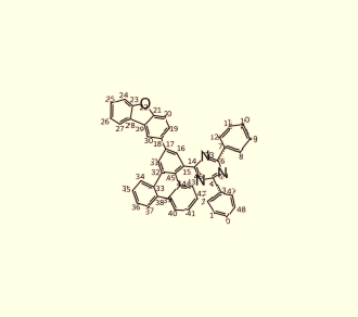 c1ccc(-c2nc(-c3ccccc3)nc(-c3cc(-c4ccc5oc6ccccc6c5c4)cc4c5ccccc5c5ccccc5c34)n2)cc1